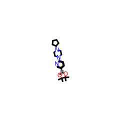 CC1(C)OB(c2ccc(N3CCN(C4CCCC4)CC3)nc2)OC1(C)C